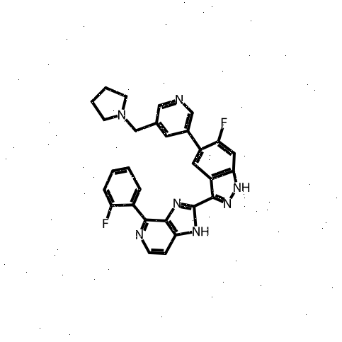 Fc1cc2[nH]nc(-c3nc4c(-c5ccccc5F)nccc4[nH]3)c2cc1-c1cncc(CN2CCCC2)c1